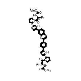 COC(=O)N[C@H](C(=O)N1CCC[C@H]1c1ncc(-c2ccc(-c3cnc4ccc(-c5cnc([C@@H]6CCCN6C(=O)[C@@H](NC(=O)OC)C(C)C)[nH]5)cc4n3)cc2)[nH]1)C(C)C